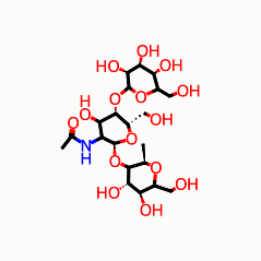 CC(=O)NC1C(O)[C@H](OC2OC(CO)[C@H](O)[C@H](O)[C@@H]2O)[C@H](CO)O[C@H]1OC1[C@@H](O)[C@H](O)C(CO)O[C@@H]1C